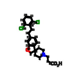 O=C(O)CCN1CCC2(CC1)COc1cc(CCc3c(Cl)cccc3Cl)ccc12